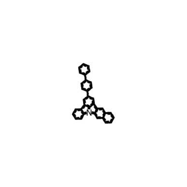 c1ccc(-c2ccc(-c3cc4c5ccccc5n5c6cc7ccccc7cc6c(c3)c45)cc2)cc1